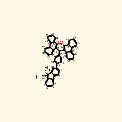 CC1(C)c2ccccc2-c2ccc(-c3ccc(C4c5c(c6ccccc6c6ccccc56)Oc5c4c4ccccc4c4ccccc54)cc3)cc21